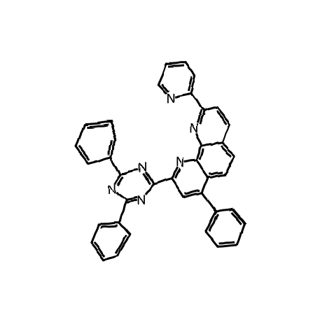 c1ccc(-c2nc(-c3ccccc3)nc(-c3cc(-c4ccccc4)c4ccc5ccc(-c6ccccn6)nc5c4n3)n2)cc1